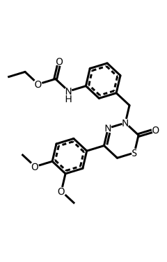 CCOC(=O)Nc1cccc(CN2N=C(c3ccc(OC)c(OC)c3)CSC2=O)c1